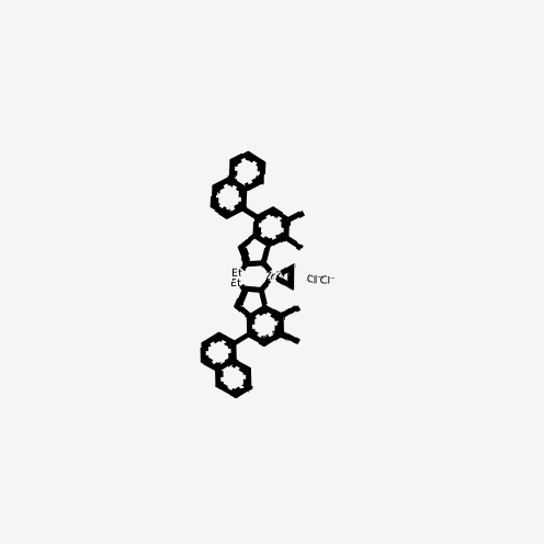 CCC1=Cc2c(-c3cccc4ccccc34)cc(C)c(C)c2[CH]1[Zr+2]1([CH]2C(CC)=Cc3c(-c4cccc5ccccc45)cc(C)c(C)c32)[CH2][CH2]1.[Cl-].[Cl-]